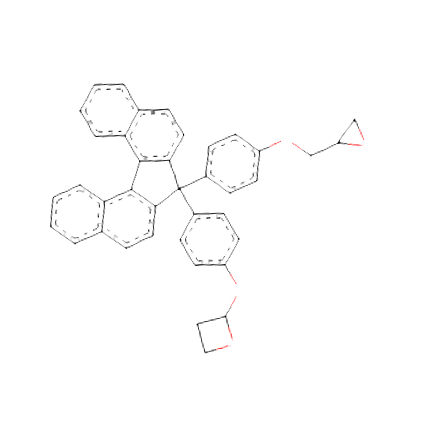 c1ccc2c3c(ccc2c1)C(c1ccc(OCC2CO2)cc1)(c1ccc(OC2CCO2)cc1)c1ccc2ccccc2c1-3